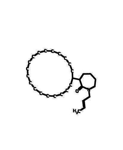 CC=CCN1CCCCC(C2CCCCCCCCCCCCCCCCCCC2)C1=O